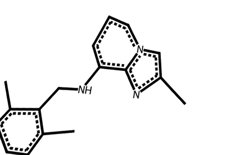 Cc1cn2cccc(NCc3c(C)cccc3C)c2n1